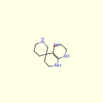 C1CNCC2(C1)CCNC1=C2C2(CCNC2)CCN1